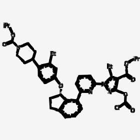 CCc1cc(O[C@H]2CCc3cccc(-c4cccc(-n5nc(OC(=O)Cl)c(C(=O)OC(C)C)c5CC)n4)c32)ccc1C1CCN(C(=O)OC(C)C)CC1